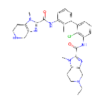 CCN1CCc2c(nc(C(=O)Nc3cccc(-c4cccc(NC(=O)c5nc6c(n5C)CCNC6)c4C)c3Cl)n2C)C1